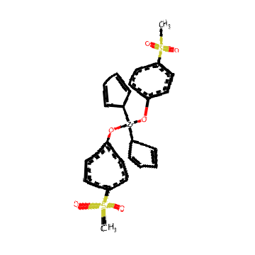 CS(=O)(=O)c1ccc([O][Zr]([O]c2ccc(S(C)(=O)=O)cc2)([CH]2C=CC=C2)[CH]2C=CC=C2)cc1